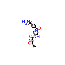 C[C@@H]1C[C@@H](NC(=O)c2cc(C3CC3)on2)CCN1C(=O)c1ccc(C(C)(C)N)cc1